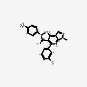 Cn1ncc2c3[nH]n(-c4ccc([N+](=O)[O-])cc4)c(=O)c3c(-c3cccc(Br)c3)nc21